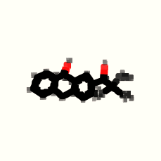 COC(C)(C)C(=O)c1ccc2c(c1)C(=O)c1ccccc1C2